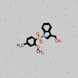 COc1cc(C)ccc1S(=O)(=O)n1cc(CO)c2ccccc21